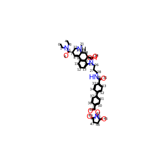 CCN(CC)C(=O)[C@@H]1C=C2c3cccc4c3C(O)(C[C@H]2N(C)C1)C(=O)N4CCCNC(=O)c1ccc(-c2ccc(C(=O)ON3C(=O)CCC3=O)cc2)cc1